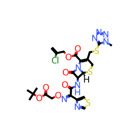 C=C(Cl)COC(=O)C1=C(CSc2nnnn2C)CS[C@@H]2C(NC(=O)/C(=N\OCC(=O)OC(C)(C)C)c3cscn3)C(=O)N12